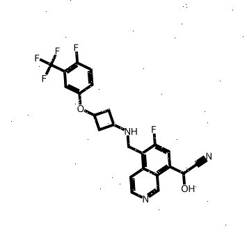 N#CC(O)c1cc(F)c(CNC2CC(Oc3ccc(F)c(C(F)(F)F)c3)C2)c2ccncc12